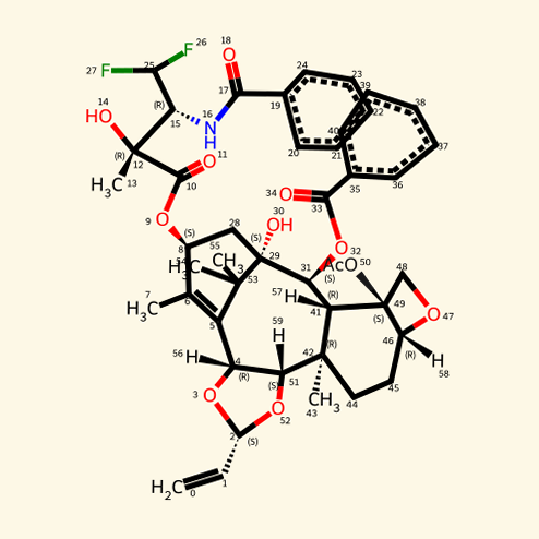 C=C[C@@H]1O[C@@H]2C3=C(C)[C@@H](OC(=O)[C@](C)(O)[C@@H](NC(=O)c4ccccc4)C(F)F)C[C@@](O)([C@@H](OC(=O)c4ccccc4)[C@H]4[C@@](C)(CC[C@H]5OC[C@]54OC(C)=O)[C@@H]2O1)C3(C)C